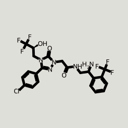 NC(CNC(=O)Cn1nc(-c2ccc(Cl)cc2)n(C[C@H](O)C(F)(F)F)c1=O)c1ccccc1C(F)(F)F